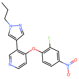 CCCn1cc(-c2cnccc2Oc2ccc([N+](=O)[O-])cc2F)cn1